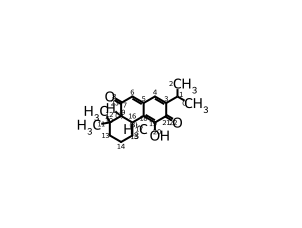 CC(C)C1=CC2=CC(=O)[C@H]3C(C)(C)CCC[C@]3(C)C2=C(O)C1=O